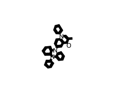 Cc1cn(-c2ccccc2)c2ccc(N3c4ccccc4N(c4ccccc4)c4ccccc43)cc2c1=O